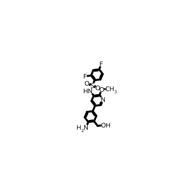 COc1ncc(-c2ccc(N)c(CO)c2)cc1NS(=O)(=O)c1ccc(F)cc1F